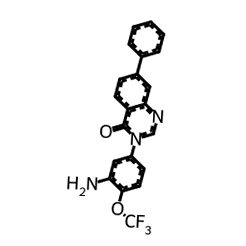 Nc1cc(-n2cnc3cc(-c4ccccc4)ccc3c2=O)ccc1OC(F)(F)F